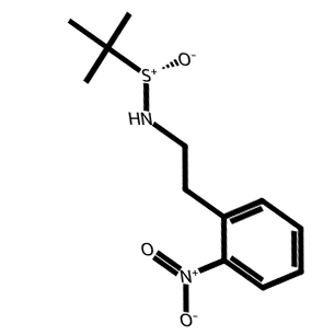 CC(C)(C)[S@+]([O-])NCCc1ccccc1[N+](=O)[O-]